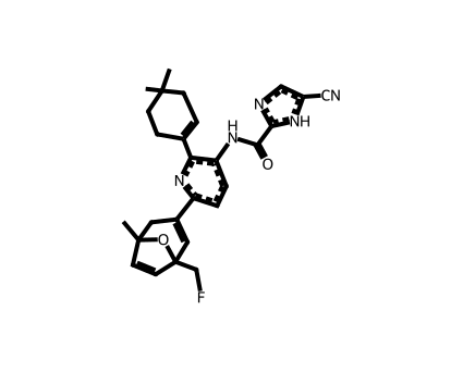 CC1(C)CC=C(c2nc(C3=CC4(CF)C=CC(C)(C3)O4)ccc2NC(=O)c2ncc(C#N)[nH]2)CC1